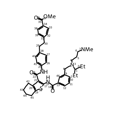 CCC(CC)N(CCCNC)Cc1cccc(C(=O)Nc2sc3c(c2C(=O)Nc2ccc(CCc4ccc(C(=O)OC)cc4)cc2)CCCC3)c1